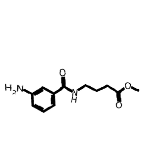 COC(=O)CCCNC(=O)c1cccc(N)c1